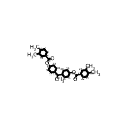 Cc1ccc(C(=O)Oc2ccc(C(C)c3ccc(OC(=O)c4ccc(C)c(C)c4)cc3)cc2)cc1C